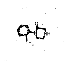 Cc1ccccc1N1CCNCC1=O